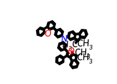 CC1(C)c2ccccc2-c2ccc(N(c3ccc(-c4cccc5c4oc4ccccc45)cc3)c3cccc(-c4oc5c(c4-c4ccccc4)-c4ccccc4C5(C)C)c3)cc21